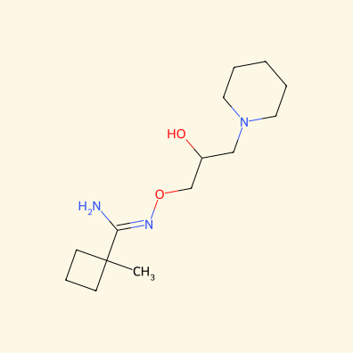 CC1(C(N)=NOCC(O)CN2CCCCC2)CCC1